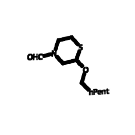 CCCCCCOC1CN(C=O)CCS1